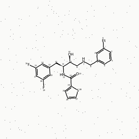 CCc1cccc(CNC[C@H](O)[C@H](Cc2cc(F)cc(F)c2)NC(=O)c2cccs2)c1